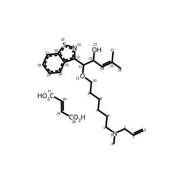 C=CCN(C)CCCCCCOC(c1nsc2ccccc12)C(O)C=C(C)C.O=C(O)/C=C/C(=O)O